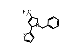 FC(F)(F)C1=CC(c2cccs2)N(Cc2ccccc2)C1